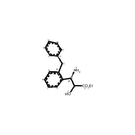 CCOC(=O)C(O)[C@H](N)c1ccccc1Cc1ccccc1